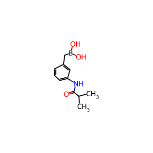 CC(C)C(=O)Nc1cccc(CB(O)O)c1